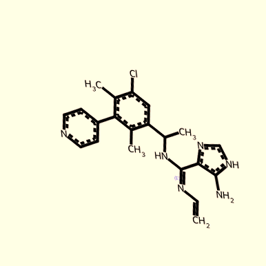 C=C/N=C(/NC(C)c1cc(Cl)c(C)c(-c2ccncc2)c1C)c1nc[nH]c1N